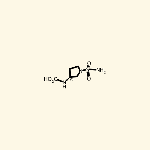 NS(=O)(=O)N1CC[C@H](NC(=O)O)C1